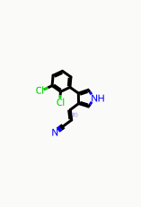 N#C/C=C/c1c[nH]cc1-c1cccc(Cl)c1Cl